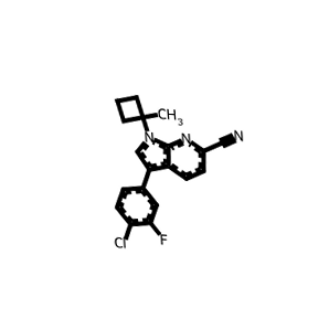 CC1(n2cc(-c3ccc(Cl)c(F)c3)c3ccc(C#N)nc32)CCC1